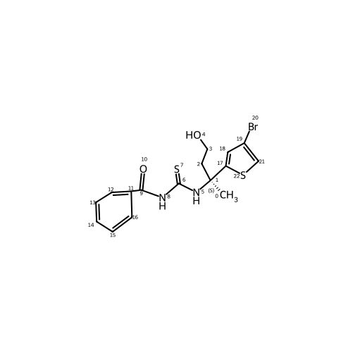 C[C@@](CCO)(NC(=S)NC(=O)c1ccccc1)c1cc(Br)cs1